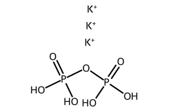 O=P(O)(O)OP(=O)(O)O.[K+].[K+].[K+]